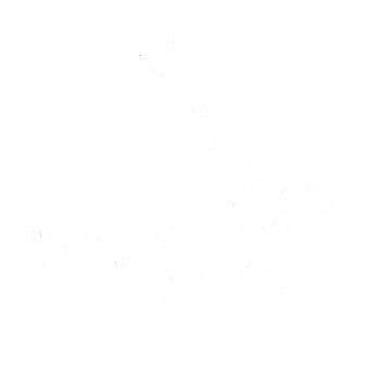 Cc1cc(C2(c3ccc(OCC4CO4)c(C)c3)C3=C(CCC=C3)c3ccccc32)ccc1OCC1CO1